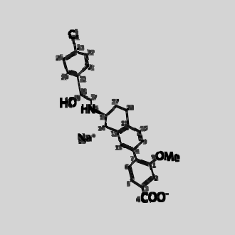 COc1cc(C(=O)[O-])ccc1-c1ccc2c(c1)C[C@@H](NC[C@H](O)c1ccc(Cl)cc1)CC2.[Na+]